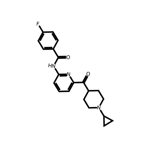 O=C(Nc1cccc(C(=O)C2CCN(C3CC3)CC2)n1)c1ccc(F)cc1